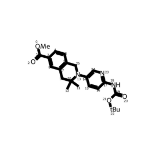 COC(=O)c1ccc2c(c1)CC(C)(C)N(c1ccc(NC(=O)OC(C)(C)C)nc1)C2